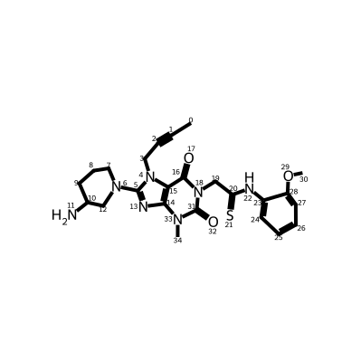 CC#CCn1c(N2CCCC(N)C2)nc2c1c(=O)n(CC(=S)Nc1ccccc1OC)c(=O)n2C